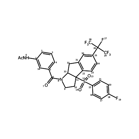 CC(=O)Nc1cccc(C(=O)N2CCC3(S(=O)(=O)c4ccc(F)cc4)c4ccc(C(F)(C(F)(F)F)C(F)(F)F)cc4CC23)c1